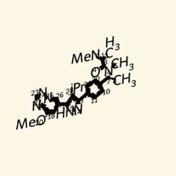 CNC(C)C(=O)N(C)[C@@H](C)c1ccc(-c2n[nH]c(-c3cc(OC)c4ncnn4c3)c2C(C)C)cc1